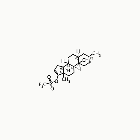 C[C@H]1CC[C@@]2(C)[C@@H](CC[C@@H]3[C@@H]2CC[C@]2(C)C(OS(=O)(=O)C(F)(F)F)=CC[C@@H]32)C1